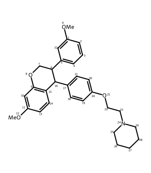 COc1cccc(C2COc3cc(OC)ccc3C2c2ccc(OCCN3CCCCC3)cc2)c1